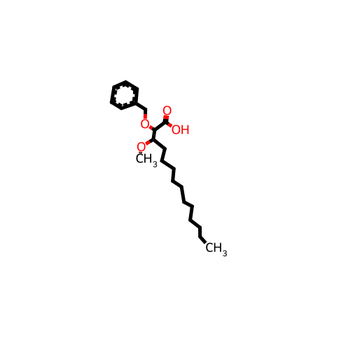 CCCCCCCCCCCC(OC)C(OCc1ccccc1)C(=O)O